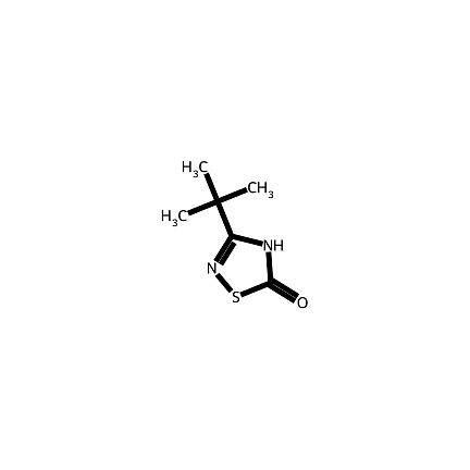 CC(C)(C)c1nsc(=O)[nH]1